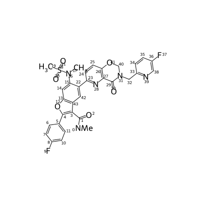 CNC(=O)c1c(-c2ccc(F)cc2)oc2cc(N(C)S(C)(=O)=O)c(-c3ccc4c(n3)C(=O)N(Cc3ccc(F)cn3)CO4)cc12